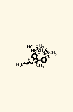 Cc1c(-c2cccc(S(=O)(=O)N(C)C)c2)c2cc(NS(C)(=O)=O)ccc2n1C/C(F)=C/CN.Cl